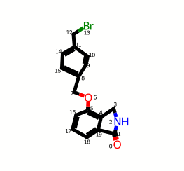 O=C1NCc2c(OCc3ccc(CBr)cc3)cccc21